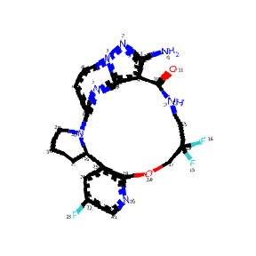 Nc1nn2ccc3nc2c1C(=O)NCC(F)(F)COc1ncc(F)cc1C1CCCN31